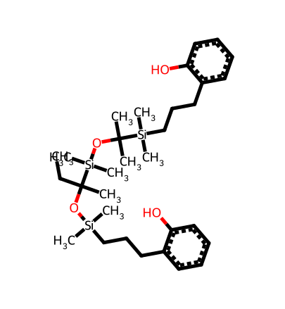 CCC(C)(O[Si](C)(C)CCCc1ccccc1O)[Si](C)(C)OC(C)(C)[Si](C)(C)CCCc1ccccc1O